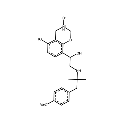 COc1ccc(CC(C)(C)NCC(O)c2ccc(O)c3c2OC[NH+]([O-])C3)cc1